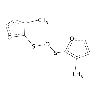 Cc1ccoc1SOSc1occc1C